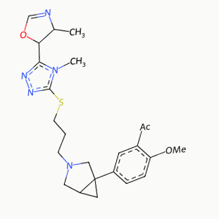 COc1ccc(C23CC2CN(CCCSc2nnc(C4OC=NC4C)n2C)C3)cc1C(C)=O